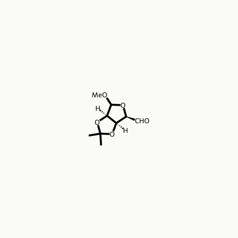 COC1O[C@@H](C=O)[C@H]2OC(C)(C)O[C@@H]12